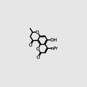 CCCc1cc(=O)oc2c3c(cc(O)c12)OC(C)CC3=O